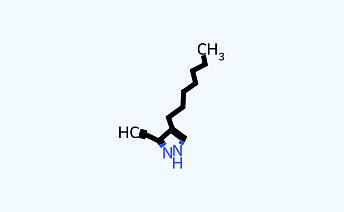 C#Cc1n[nH]cc1CCCCCCC